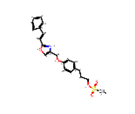 CS(=O)(=O)OCCCc1ccc(OCc2coc(C=Cc3ccccc3)n2)cc1